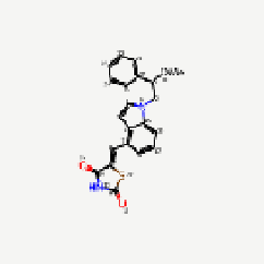 COC(Cn1ccc2c(/C=C3\SC(=O)NC3=O)cccc21)c1ccccc1